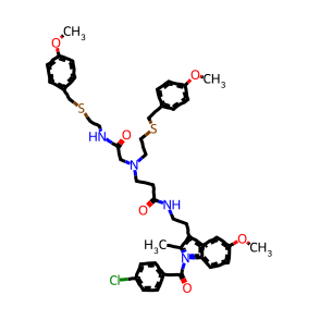 COc1ccc(CSCCNC(=O)CN(CCSCc2ccc(OC)cc2)CCC(=O)NCCc2c(C)n(C(=O)c3ccc(Cl)cc3)c3ccc(OC)cc23)cc1